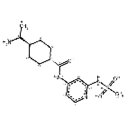 CC(N)[C@H]1CC[C@H](C(=O)Nc2ccnc(NS(C)(=O)=O)c2)CC1